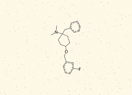 CN(C)C1(Cc2ccccc2)CCC(OCc2cccc(F)c2)CC1